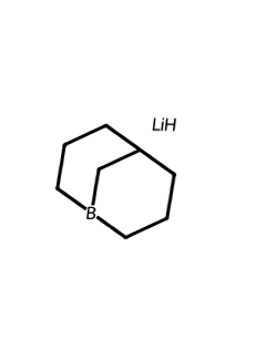 C1CB2CCCC(C1)C2.[LiH]